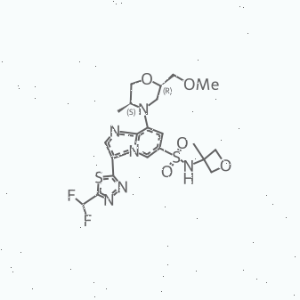 COC[C@H]1CN(c2cc(S(=O)(=O)NC3(C)COC3)cn3c(-c4nnc(C(F)F)s4)cnc23)[C@@H](C)CO1